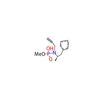 C#CCN([C@H](C)Cc1ccccc1)P(=O)(O)OC